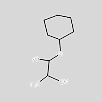 CC(O)C(O)OC1CCCCC1